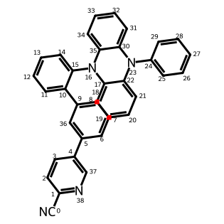 N#Cc1ccc(-c2cccc(-c3ccccc3N3c4ccccc4N(c4ccccc4)c4ccccc43)c2)cn1